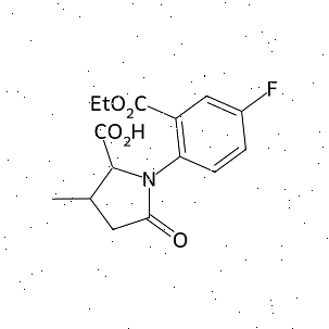 CCOC(=O)c1cc(F)ccc1N1C(=O)CC(C)C1C(=O)O